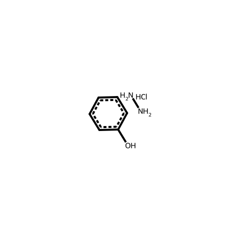 Cl.NN.Oc1ccccc1